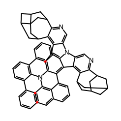 c1ccc(-c2cccc(-c3ccccc3)c2-n2c3cccc4cccc(c43)c3c4c5c6c(ncc5n5c7cnc8c(c7c(cc32)c45)C2CC3CC4CC8CC43C2)C2CC3CC(C2)CC6C3)cc1